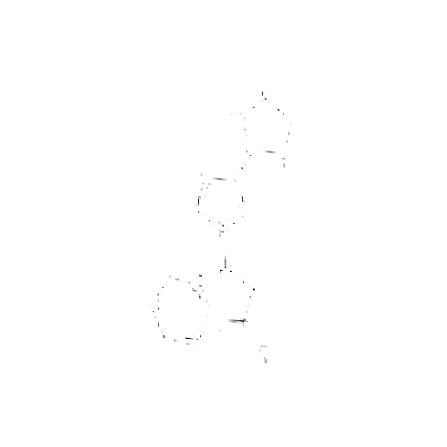 O=C1N=C(c2ccc(C3OCCO3)s2)c2ccccc21